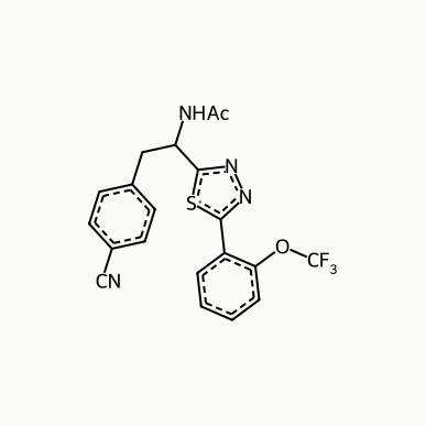 CC(=O)NC(Cc1ccc(C#N)cc1)c1nnc(-c2ccccc2OC(F)(F)F)s1